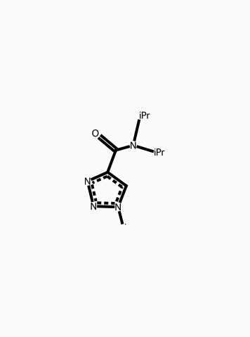 [CH2]n1cc(C(=O)N(C(C)C)C(C)C)nn1